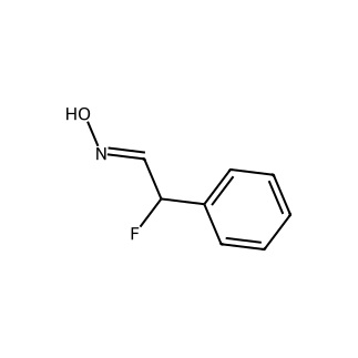 ON=CC(F)c1ccccc1